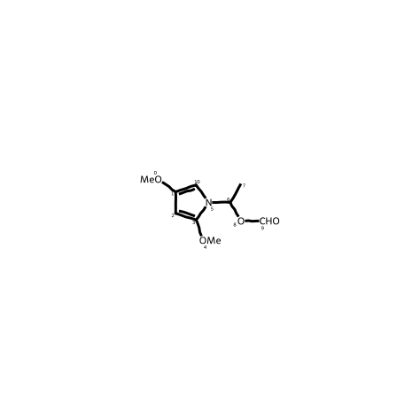 COc1cc(OC)n(C(C)OC=O)c1